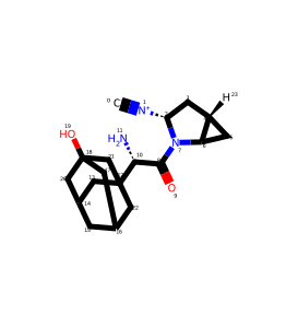 [C-]#[N+][C@@H]1C[C@@H]2CC2N1C(=O)[C@@H](N)C12CC3CC(CC(O)(C3)C1)C2